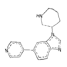 c1cc(-c2ccc3ncn(C4CCCNC4)c3c2)ccn1